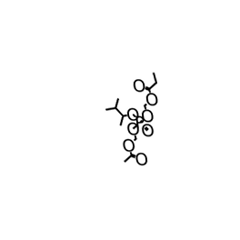 CCC(=O)OCOP(=O)(OCOC(C)=O)OC(C)C(C)C